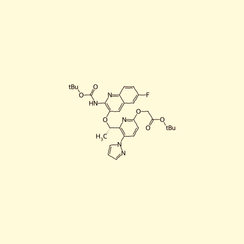 C[C@H](Oc1cc2cc(F)ccc2nc1NC(=O)OC(C)(C)C)c1nc(OCC(=O)OC(C)(C)C)ccc1-n1cccn1